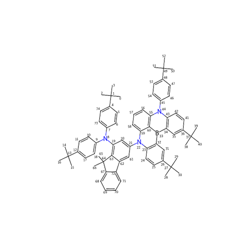 CC(C)(C)c1ccc(N(c2ccc(C(C)(C)C)cc2)c2cc(N3c4ccc(C(C)(C)C)cc4B4c5cc(C(C)(C)C)ccc5N(c5ccc(C(C)(C)C)cc5)c5cccc3c54)cc3c2C(C)(C)c2ccccc2-3)cc1